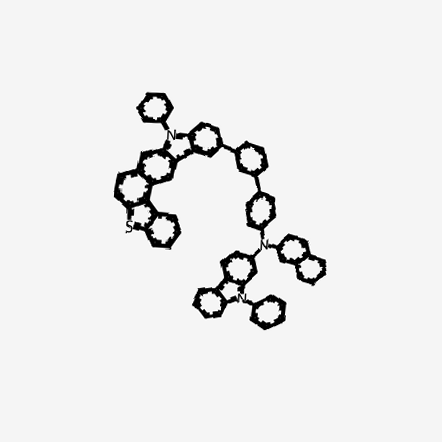 c1ccc(-n2c3ccccc3c3ccc(N(c4ccc(-c5cccc(-c6ccc7c(c6)c6cc8c(ccc9sc%10ccccc%10c98)cc6n7-c6ccccc6)c5)cc4)c4ccc5ccccc5c4)cc32)cc1